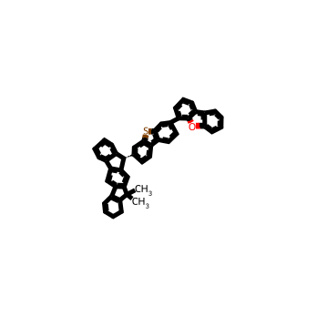 CC1(C)C2=C(C=CCC2)c2cc3c(cc21)[C@@H](c1ccc2c(c1)sc1cc(-c4cccc5c4oc4ccccc45)ccc12)c1ccccc1-3